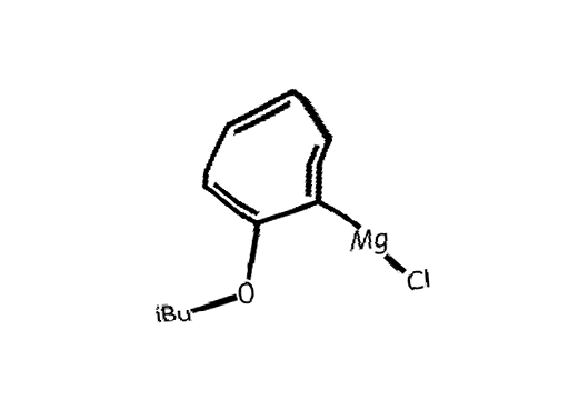 CCC(C)Oc1cccc[c]1[Mg][Cl]